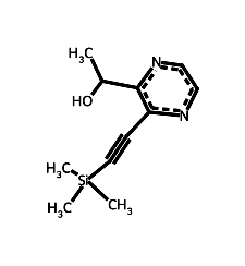 CC(O)c1nccnc1C#C[Si](C)(C)C